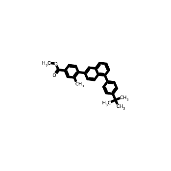 COC(=O)c1ccc(-c2ccc3c(-c4ccc(C(C)(C)C)cc4)cccc3c2)c(C)c1